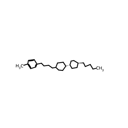 CCCCC[C@H]1CC[C@H](C2CCC(CCCCc3ccc(C)cc3)CC2)CC1